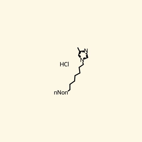 CCCCCCCCCCCCCCCCn1cnc(C)c1.Cl